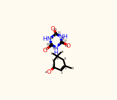 CC1=CC(=O)CC(C)(C)C1.O=c1[nH]c(=O)[nH]c(=O)[nH]1